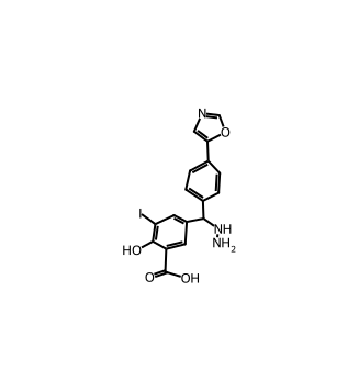 NNC(c1ccc(-c2cnco2)cc1)c1cc(I)c(O)c(C(=O)O)c1